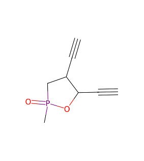 C#CC1CP(C)(=O)OC1C#C